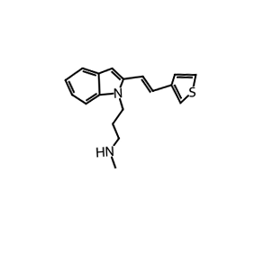 CNCCCn1c(/C=C/c2ccsc2)cc2ccccc21